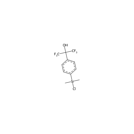 C[Si](C)(Cl)c1ccc(C(O)(C(F)(F)F)C(F)(F)F)cc1